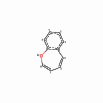 [C]1=CC=Cc2ccccc2O1